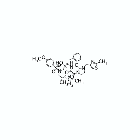 COc1ccc(S(=O)(=O)N(CC(C)C)C[C@H](O)[C@H](Cc2ccccc2)NC(=O)[C@H](C(C)C)N2CCN(Cc3csc(C)n3)C2=O)cc1